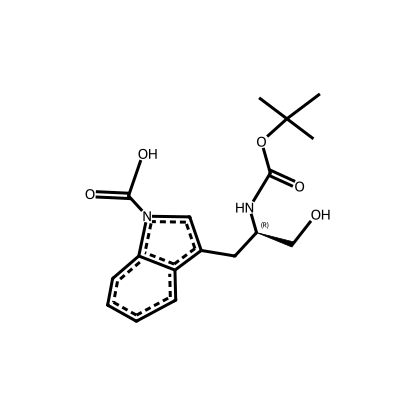 CC(C)(C)OC(=O)N[C@@H](CO)Cc1cn(C(=O)O)c2ccccc12